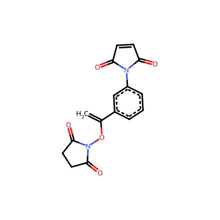 C=C(ON1C(=O)CCC1=O)c1cccc(N2C(=O)C=CC2=O)c1